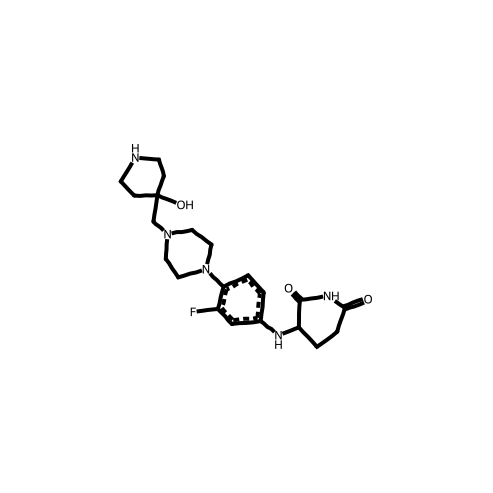 O=C1CCC(Nc2ccc(N3CCN(CC4(O)CCNCC4)CC3)c(F)c2)C(=O)N1